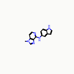 Cn1cnc2c(Nc3ccc4[nH]ccc4c3)nccc21